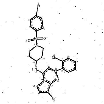 CCc1ccc(S(=O)(=O)N2CCC(Nc3cc(-c4ccccc4Cl)nc4c(Br)cnn34)CC2)cc1